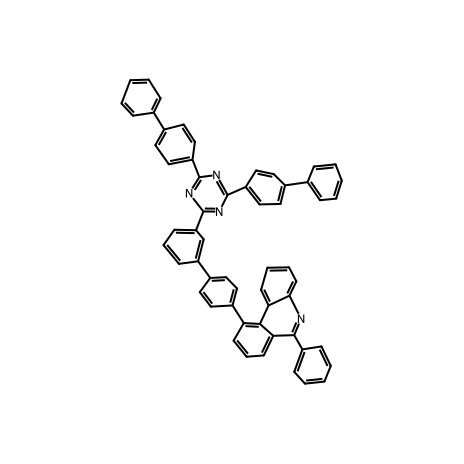 c1ccc(-c2ccc(-c3nc(-c4ccc(-c5ccccc5)cc4)nc(-c4cccc(-c5ccc(-c6cccc7c(-c8ccccc8)nc8ccccc8c67)cc5)c4)n3)cc2)cc1